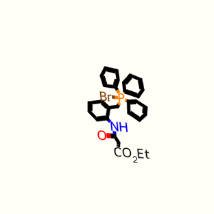 CCOC(=O)CC(=O)Nc1ccccc1CP(Br)(c1ccccc1)(c1ccccc1)c1ccccc1